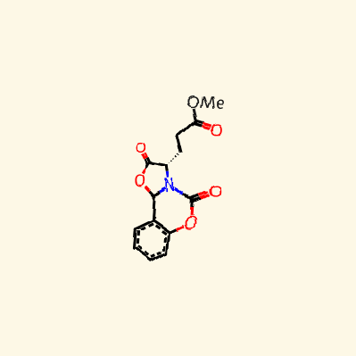 COC(=O)CC[C@H]1C(=O)OC2c3ccccc3OC(=O)N21